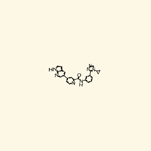 O=C(Nc1cccc(-c2nncn2C2CC2)c1)c1cc(-c2cnc3[nH]ccc3c2)ccn1